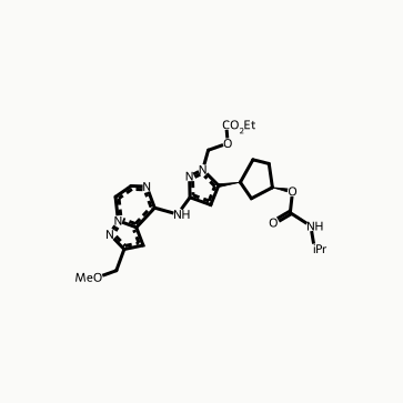 CCOC(=O)OCn1nc(Nc2nccn3nc(COC)cc23)cc1[C@H]1CC[C@@H](OC(=O)NC(C)C)C1